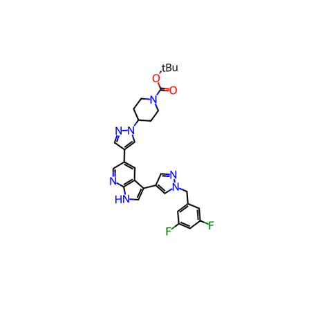 CC(C)(C)OC(=O)N1CCC(n2cc(-c3cnc4[nH]cc(-c5cnn(Cc6cc(F)cc(F)c6)c5)c4c3)cn2)CC1